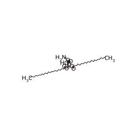 CCCCCCCCCCCCCCCCCCCCCC(=O)O[C@H](COC(=O)CCCCCCCCCCCCCCCCCCCC)COP(=O)(O)OCCN